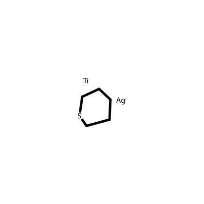 C1CCSCC1.[Ag].[Ti]